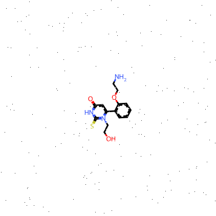 NCCOc1ccccc1-c1cc(=O)[nH]c(=S)n1CCO